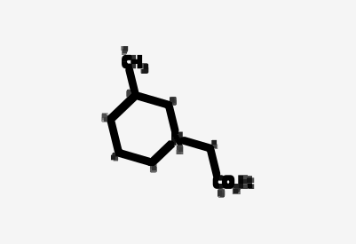 CCOC(=O)CN1CCCC(C)C1